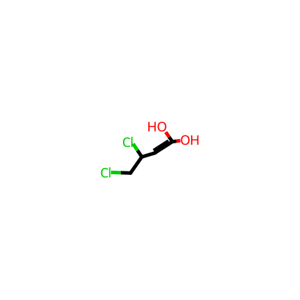 OC(O)=CC(Cl)CCl